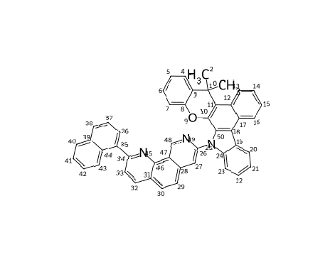 CC1(C)c2ccccc2Oc2c1c1ccccc1c1c3ccccc3n(-c3cc4ccc5ccc(-c6cccc7ccccc67)nc5c4cn3)c21